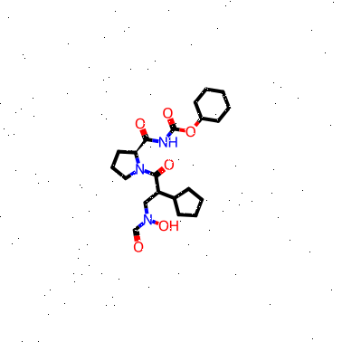 O=CN(O)CC(C(=O)N1CCC[C@H]1C(=O)NC(=O)OC1CCCCC1)C1CCCC1